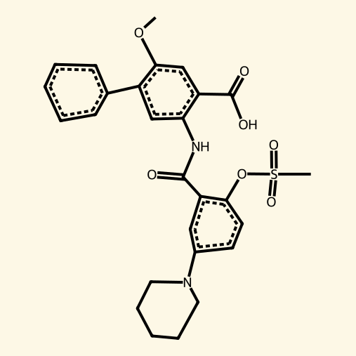 COc1cc(C(=O)O)c(NC(=O)c2cc(N3CCCCC3)ccc2OS(C)(=O)=O)cc1-c1ccccc1